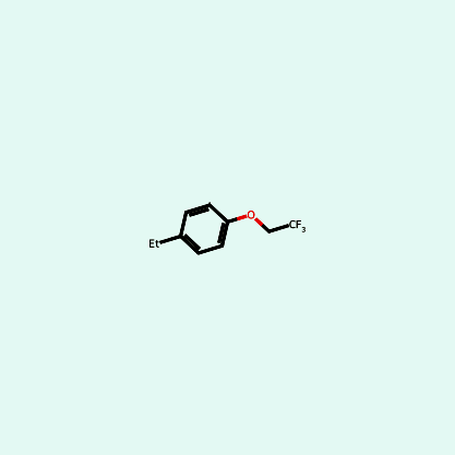 CCc1c[c]c(OCC(F)(F)F)cc1